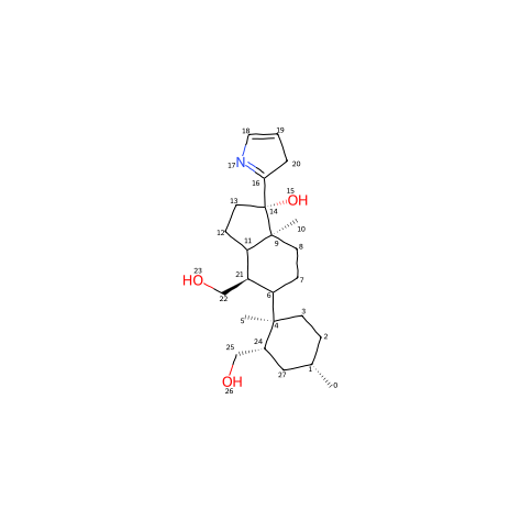 C[C@H]1CC[C@](C)(C2CC[C@@]3(C)C(CC[C@@]3(O)C3=NC=CC3)[C@@H]2CO)[C@@H](CO)C1